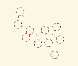 c1ccc(-c2ccc3c(c2)C2(c4ccccc4-c4ccccc42)c2cccc(N(c4ccc(-c5cccc6c5oc5ccccc56)cc4)c4ccccc4-c4ccccc4)c2-3)cc1